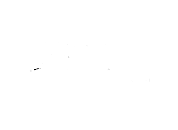 C[C@H]1C[C@]2(C)C(=O)[C@H](Br)CC2C2CC=C3C[C@@H](O)CC[C@]3(C)C21